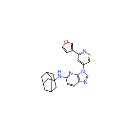 c1cc(-n2cnc3ccc(NC45CC6CC(CC(C6)C4)C5)nc32)cc(-c2ccoc2)n1